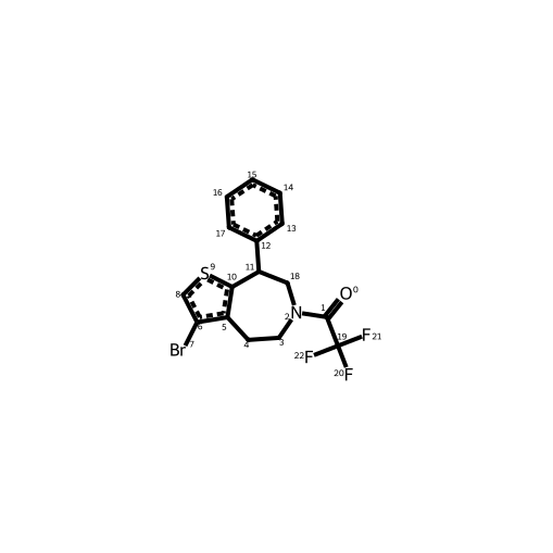 O=C(N1CCc2c(Br)csc2C(c2ccccc2)C1)C(F)(F)F